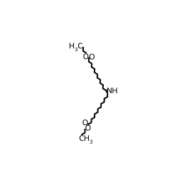 CCCCOC(=O)CCCCCCCCCCCC1=C(CCCCCCCCCCCC(=O)OCCCC)N1